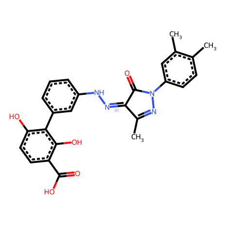 CC1=NN(c2ccc(C)c(C)c2)C(=O)/C1=N\Nc1cccc(-c2c(O)ccc(C(=O)O)c2O)c1